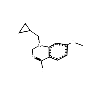 COc1ccc2c(c1)N(CC1CC1)CN=C2Cl